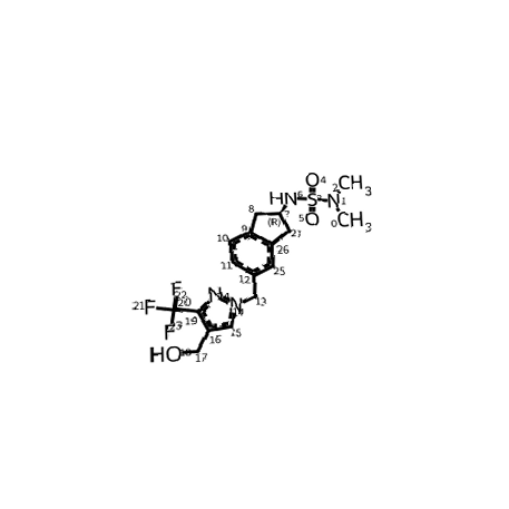 CN(C)S(=O)(=O)N[C@@H]1Cc2ccc(Cn3cc(CO)c(C(F)(F)F)n3)cc2C1